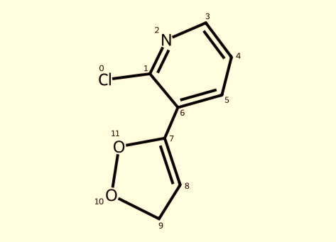 Clc1ncccc1C1=CCOO1